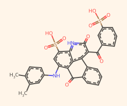 Cc1ccc(Nc2cc(S(=O)(=O)O)c3[nH]c(=O)c(C(=O)c4cccc(S(=O)(=O)O)c4)c4c3c2C(=O)c2ccccc2-4)cc1C